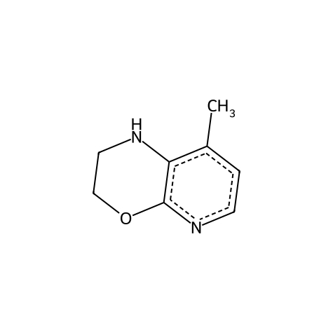 Cc1ccnc2c1NCCO2